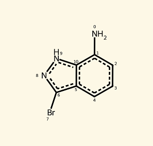 Nc1cccc2c(Br)n[nH]c12